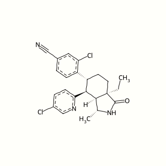 CC[C@@]12CC[C@@H](c3ccc(C#N)cc3Cl)[C@H](c3ccc(Cl)cn3)[C@@H]1[C@@H](C)NC2=O